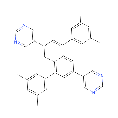 Cc1cc(C)cc(-c2cc(-c3cncnc3)cc3c(-c4cc(C)cc(C)c4)cc(-c4cncnc4)cc23)c1